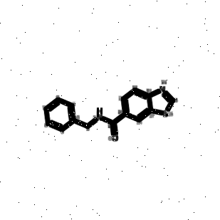 O=C(NCc1ccccc1)c1ccc2n[c]sc2c1